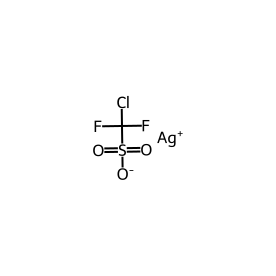 O=S(=O)([O-])C(F)(F)Cl.[Ag+]